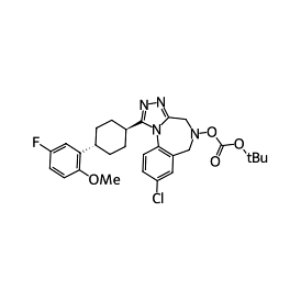 COc1ccc(F)cc1[C@H]1CC[C@H](c2nnc3n2-c2ccc(Cl)cc2CN(OC(=O)OC(C)(C)C)C3)CC1